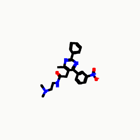 Cc1nc(-c2ccccc2)nc(-c2cccc([N+](=O)[O-])c2)c1CC(=O)NCCN(C)C